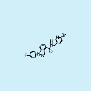 O=C(NCc1ccc(Br)nc1)c1cccc2c1cnn2-c1ccc(F)cc1